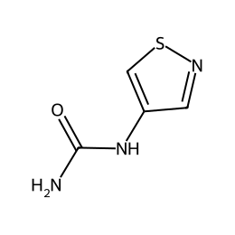 NC(=O)Nc1cnsc1